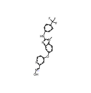 Cn1c(Nc2ccc(C(F)(F)F)cc2)nc2cc(Oc3ccnc(/C=N/O)c3)ccc21